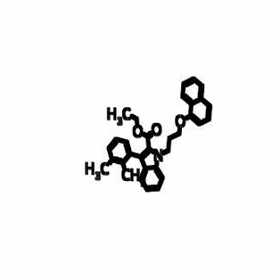 CCOC(=O)c1c(-c2cccc(C)c2C)c2ccccc2n1CCCOc1cccc2ccccc12